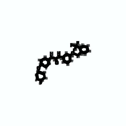 CN1C=CC(Oc2ccc(NC(=O)Nc3cccc(OCc4ccccc4C(F)(F)F)c3)cc2)=CC1